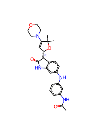 CC(=O)Nc1cccc(Nc2ccc3c(c2)NC(=O)/C3=C2\C=C(N3CCOCC3)C(C)(C)O2)c1